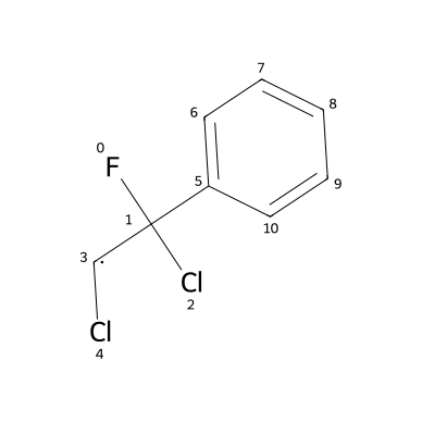 FC(Cl)([CH]Cl)c1ccccc1